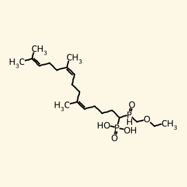 CCOC[PH](=O)C(CCCC=C(C)CCC=C(C)CCC=C(C)C)P(=O)(O)O